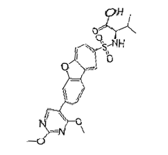 COc1ncc(-c2ccc3c(c2)oc2ccc(S(=O)(=O)N[C@@H](C(=O)O)C(C)C)cc23)c(OC)n1